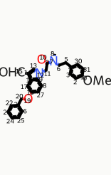 COc1ccc(CCN(C)C(=O)Cn2cc(C=O)c3cc(OCc4ccccc4)ccc32)cc1